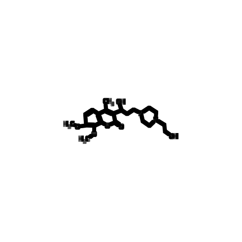 COc1ccc2c(C)c(C(O)CCN3CCN(CCO)CC3)c(=O)oc2c1OC